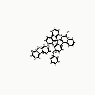 Fc1cc2c(c3ccccc13)-c1ccc(N(c3ccccc3)c3ccc4oc5ccccc5c4c3)cc1C2(c1ccccc1)c1ccccc1